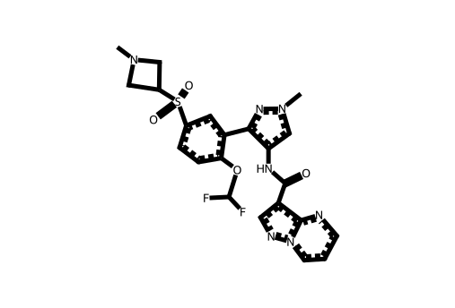 CN1CC(S(=O)(=O)c2ccc(OC(F)F)c(-c3nn(C)cc3NC(=O)c3cnn4cccnc34)c2)C1